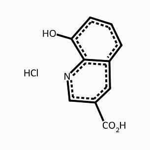 Cl.O=C(O)c1cnc2c(O)cccc2c1